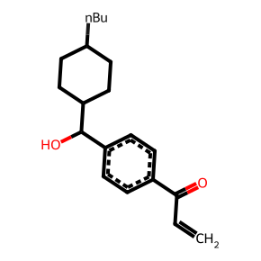 C=CC(=O)c1ccc(C(O)C2CCC(CCCC)CC2)cc1